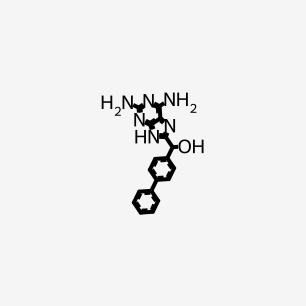 Nc1nc(N)c2nc(C(O)c3ccc(-c4ccccc4)cc3)[nH]c2n1